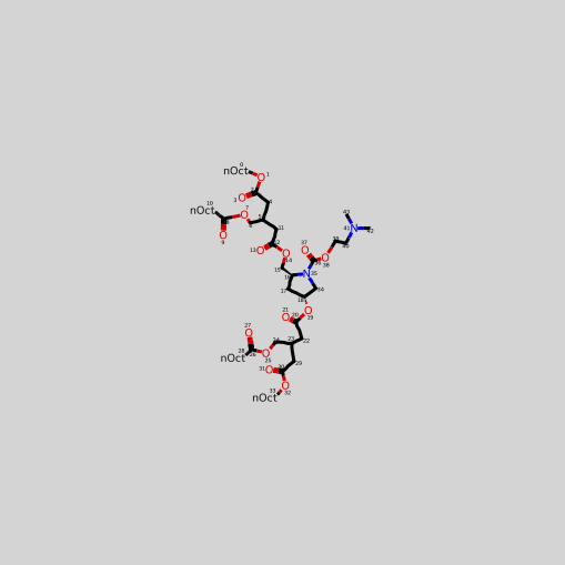 CCCCCCCCOC(=O)CC(COC(=O)CCCCCCCC)CC(=O)OC[C@@H]1C[C@@H](OC(=O)CC(COC(=O)CCCCCCCC)CC(=O)OCCCCCCCC)CN1C(=O)OCCN(C)C